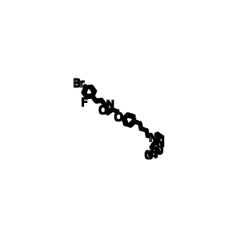 CS(=O)(=O)Cc1nccn1CCCCc1ccc(OCc2coc(/C=C/c3ccc(Br)cc3F)n2)cc1